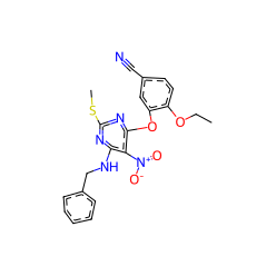 CCOc1ccc(C#N)cc1Oc1nc(SC)nc(NCc2ccccc2)c1[N+](=O)[O-]